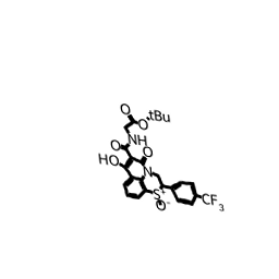 CC(C)(C)OC(=O)CNC(=O)c1c(O)c2cccc3c2n(c1=O)CC(c1ccc(C(F)(F)F)cc1)[S+]3[O-]